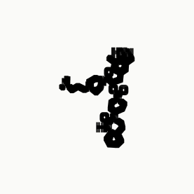 Cc1cc(CC(OC(=O)N2CCC(N3CCc4ccccc4NC3=O)CC2)C(=O)N2CCN(CCCN(C)C)CC2)cc2cn[nH]c12